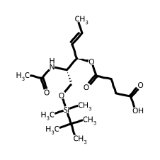 C/C=C/[C@@H](OC(=O)CCC(=O)O)[C@H](CO[Si](C)(C)C(C)(C)C)NC(C)=O